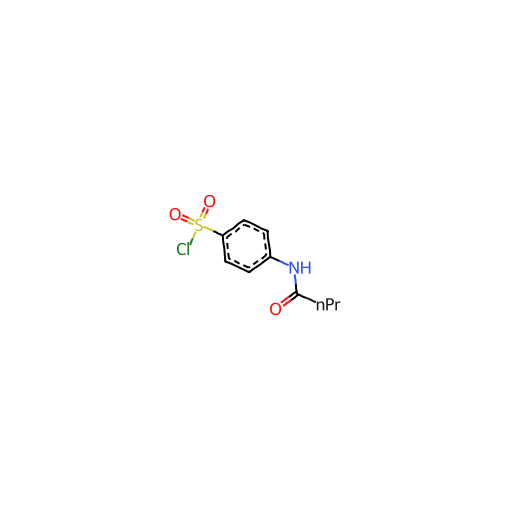 CCCC(=O)Nc1ccc(S(=O)(=O)Cl)cc1